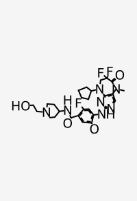 COc1cc(C(=O)NC2CCN(CCO)CC2)c(F)cc1Nc1ncc2c(n1)N(C1CCCC1)CC(F)(F)C(=O)N2C